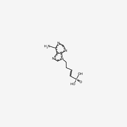 Nc1ncnc2c1ncn2CCC=CP(=O)(O)O